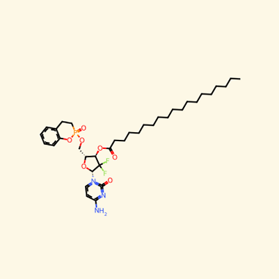 CCCCCCCCCCCCCCCCCCC(=O)O[C@@H]1[C@@H](COP2(=O)CCc3ccccc3O2)O[C@@H](n2ccc(N)nc2=O)C1(F)F